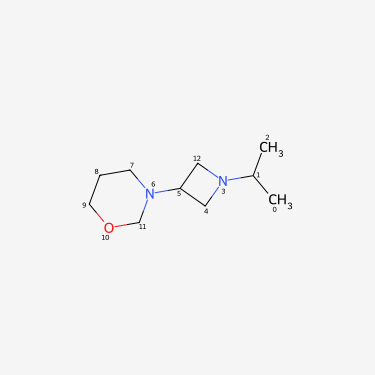 CC(C)N1CC(N2CCCOC2)C1